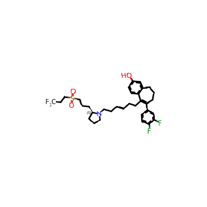 O=S(=O)(CCC[C@@H]1CCCN1CCCCCCC1=C(c2ccc(F)c(F)c2)CCCc2cc(O)ccc21)CCC(F)(F)F